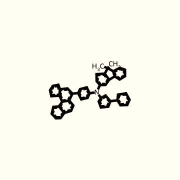 CC1(C)c2ccccc2-c2cc(N(c3ccc(-c4cc5ccccc5c5c4ccc4ccccc45)cc3)c3cccc(-c4ccccc4)c3)ccc21